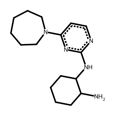 NC1CCCCC1Nc1nccc(N2CCCCCC2)n1